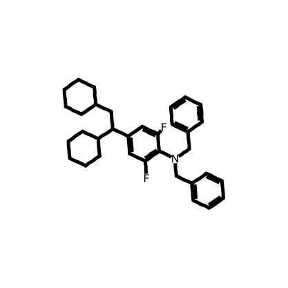 Fc1cc(C(CC2CCCCC2)C2CCCCC2)cc(F)c1N(Cc1ccccc1)Cc1ccccc1